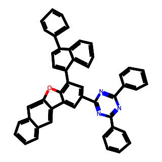 c1ccc(-c2nc(-c3ccccc3)nc(-c3cc(-c4ccc(-c5ccccc5)c5ccccc45)c4oc5cc6ccccc6cc5c4c3)n2)cc1